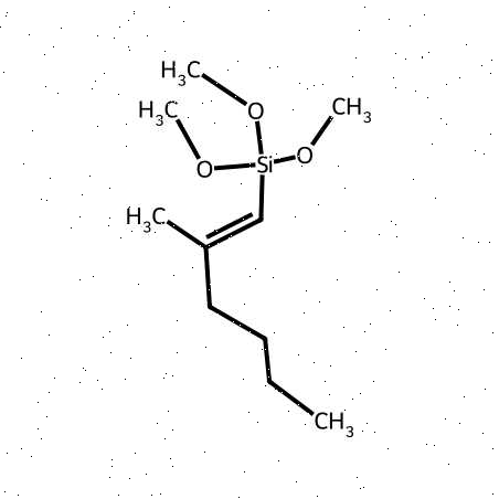 CCCCC(C)=C[Si](OC)(OC)OC